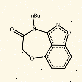 CCCCN1C(=O)COc2cccc3onc1c23